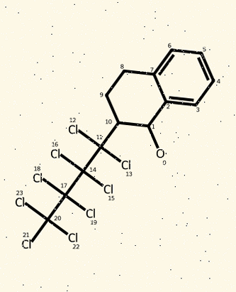 [O]C1c2ccccc2CCC1C(Cl)(Cl)C(Cl)(Cl)C(Cl)(Cl)C(Cl)(Cl)Cl